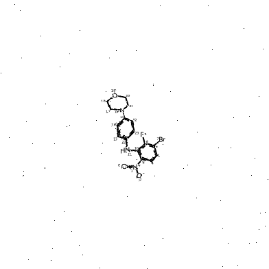 O=[N+]([O-])c1ccc(Br)c(F)c1Nc1ccc(N2CCOCC2)cc1